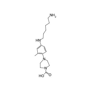 Cc1cc(NCCCCCCN)ccc1N1CCN(C(=O)O)CC1